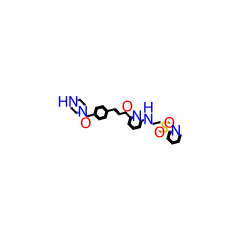 O=C(C=Cc1ccc(C(=O)N2CCNCC2)cc1)c1cccc(NCCS(=O)(=O)c2ccccn2)n1